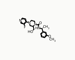 COc1cccc([C@@H](C)NC(=O)N2CCN(c3ccncc3F)CC2CO)c1